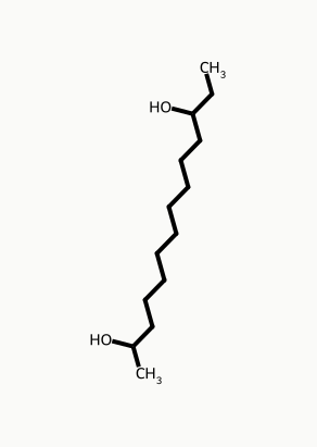 CCC(O)CCCCCCCCCC(C)O